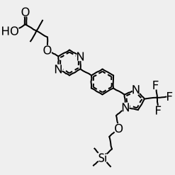 CC(C)(COc1cnc(-c2ccc(-c3nc(C(F)(F)F)cn3COCC[Si](C)(C)C)cc2)cn1)C(=O)O